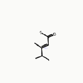 C/C(=C\C(=O)[S])C(C)C